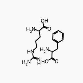 N=C(N)NCCC[C@@H](N)C(=O)O.N[C@@H](Cc1ccccc1)C(=O)O